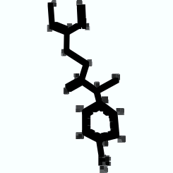 C=N/C(=C\C)CCC(=C)C(C)c1ccc(CC)cc1